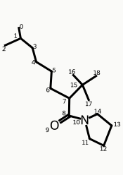 CC(C)CCCCC(C(=O)N1CCCC1)C(C)(C)C